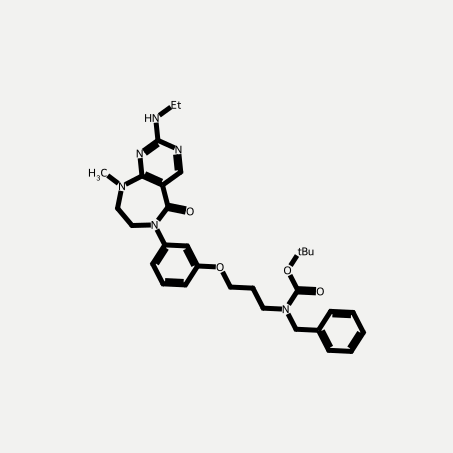 CCNc1ncc2c(n1)N(C)CCN(c1cccc(OCCCN(Cc3ccccc3)C(=O)OC(C)(C)C)c1)C2=O